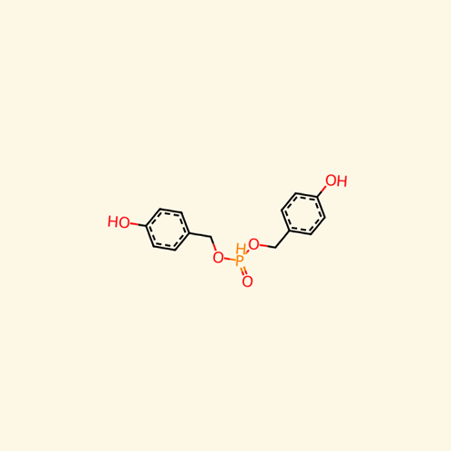 O=[PH](OCc1ccc(O)cc1)OCc1ccc(O)cc1